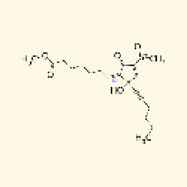 CCCCC#CC1(O)C=C([S+](C)[O-])C(=O)/C1=C\CCCCCC(=O)OC